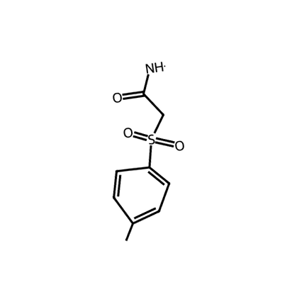 Cc1ccc(S(=O)(=O)CC([NH])=O)cc1